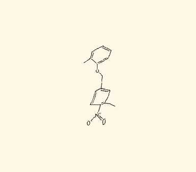 Cc1ccccc1OCc1ccc([N+](=O)[O-])c(C)c1